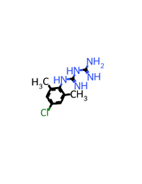 Cc1cc(Cl)cc(C)c1NC(=N)NC(=N)N